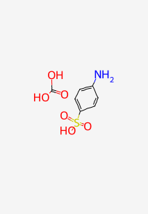 Nc1ccc(S(=O)(=O)O)cc1.O=C(O)O